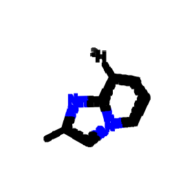 [2H]c1cccn2cc(C)nc12